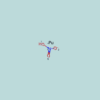 O=[N+]([O-])O.[Pu]